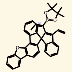 C=CC1=C(/C(=C\C)B2OC(C)(C)C(C)(C)O2)C2(c3ccccc31)c1ccccc1-c1c2ccc2c1oc1ccccc12